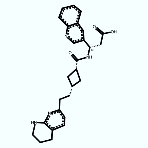 O=C(O)C[C@H](NC(=O)[C@H]1C[C@@H](CCc2ccc3c(n2)NCCC3)C1)c1cnc2ccccc2c1